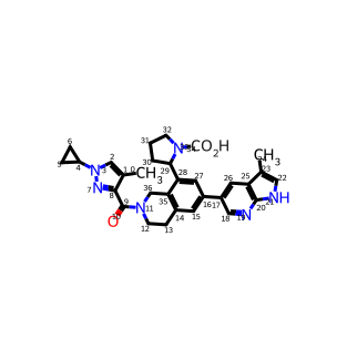 Cc1cn(C2CC2)nc1C(=O)N1CCc2cc(-c3cnc4[nH]cc(C)c4c3)cc(C3CCCN3C(=O)O)c2C1